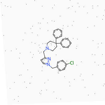 Clc1c[c]c(Cn2ccc(CN3CCC(c4ccccc4)(c4ccccc4)CC3)n2)cc1